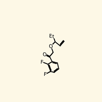 C=CC(CC)OCC(=O)c1cccc(F)c1F